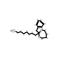 CCCCCCCCC1(Cc2ccccc2)OCCCCO1